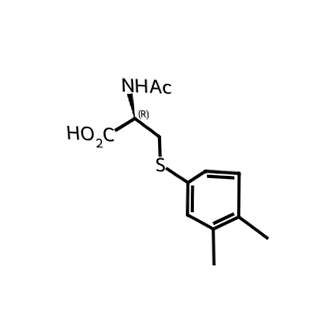 CC(=O)N[C@@H](CSc1ccc(C)c(C)c1)C(=O)O